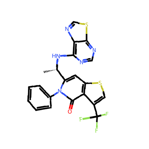 C[C@H](Nc1ncnc2scnc12)c1cc2scc(C(F)(F)F)c2c(=O)n1-c1ccccc1